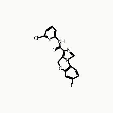 O=C(Nc1cccc(Cl)n1)c1ncn2c1COc1cc(F)ccc1-2